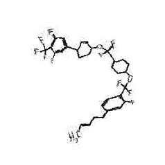 C/C=C/CCc1ccc(C(F)(F)OC2CCC(C(F)(F)OC3CCC(c4cc(F)c(C(F)(F)F)c(F)c4)CC3)CC2)c(F)c1